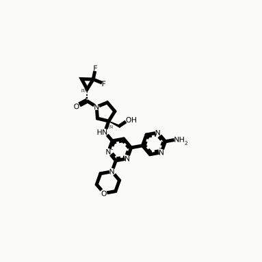 Nc1ncc(-c2cc(N[C@@]3(CO)CCN(C(=O)[C@@H]4CC4(F)F)C3)nc(N3CCOCC3)n2)cn1